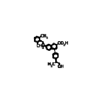 Cc1cccc(C)c1COc1ccc2c(-c3ccc(C(C)CO)cc3)cc(C(=O)O)cc2c1